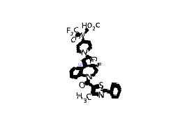 Cc1nc(-c2ccccc2)sc1C(=O)N1CCC(F)(F)/C(=C\C(=O)N2CCC(N(CC(=O)O)C(=O)C(F)(F)F)CC2)c2ccccc21